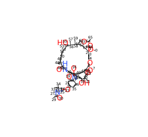 CO[C@H]1/C=C/O[C@@]2(C)Oc3c(C)c(O)c4c(=O)c(c5oc6cc(OCC[N+](C)(C(C)=O)C(C)(C)C)ccc6nc-5c4c3C2=O)NC(=O)/C(C)=C\C=C\[C@H](C)[C@H](O)[C@@H](C)[C@@H](C)[C@@H](C)[C@H](OC(C)=O)[C@@H]1C